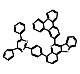 c1ccc(-c2cc(-c3ccccc3)nc(-c3ccc(-c4cccc5c4nc(-c4ccc6c7ccccc7c7ccccc7c6c4)c4c6ccccc6sc54)cc3)n2)cc1